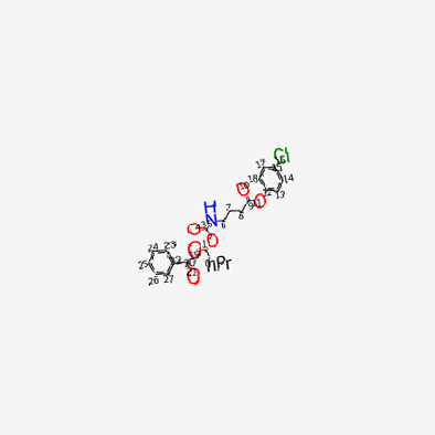 CCCC(OC(=O)NCCCC(=O)Oc1ccc(Cl)cc1)OC(=O)c1ccccc1